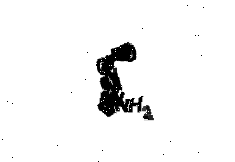 Nc1nc(N2CCN(C(=O)/C=C/c3ccoc3)CC2)nc2c1CCC2